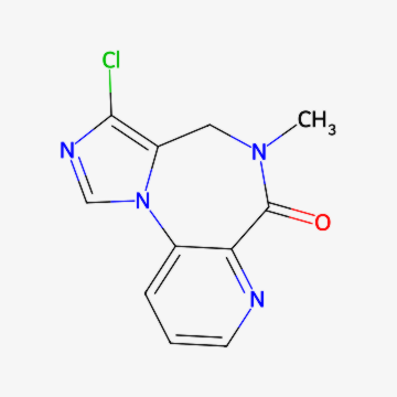 CN1Cc2c(Cl)ncn2-c2cccnc2C1=O